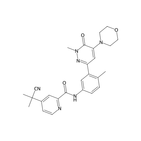 Cc1ccc(NC(=O)c2cc(C(C)(C)C#N)ccn2)cc1-c1cc(N2CCOCC2)c(=O)n(C)n1